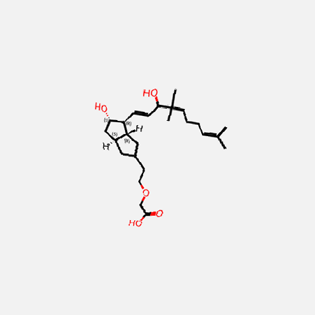 CC(C)=CCCCC(C)(C)C(O)C=C[C@H]1[C@@H]2CC(CCOCC(=O)O)C[C@H]2C[C@@H]1O